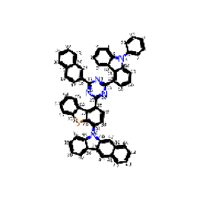 c1ccc(-n2c3ccccc3c3c(-c4nc(-c5ccc6ccccc6c5)nc(-c5ccc(-n6c7ccccc7c7cc8ccccc8cc76)c6sc7ccccc7c56)n4)cccc32)cc1